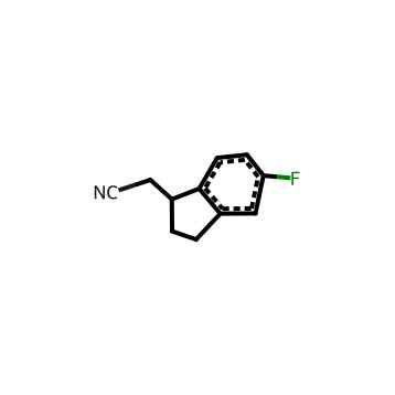 N#CCC1CCc2cc(F)ccc21